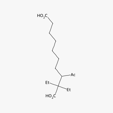 CCC(CC)(C(=O)O)C(CCCCCCC(=O)O)C(C)=O